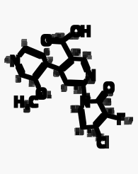 COc1cnccc1-c1cc(-n2ccc(Cl)c(F)c2=O)ncc1C(=O)O